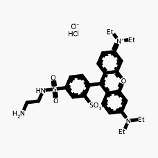 CCN(CC)c1ccc2c(-c3ccc(S(=O)(=O)NCCN)cc3S(=O)(=O)O)c3ccc(=[N+](CC)CC)cc-3oc2c1.Cl.[Cl-]